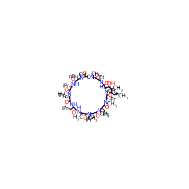 C/C=C/C[C@@H](C)[C@@H](O)[C@H]1C(=O)N[C@@H](CC)C(=O)N(C)CC(=O)N(C)[C@@H](CCCC)C(=O)N[C@@H](C(C)C)C(=O)N(C)[C@@H](CC(C)C)C(=O)NC(CC(C)C)C(=O)N[C@H](C)C(=O)N(C)[C@@H](CC(C)C)C(=O)N(C)[C@H](CC(C)C)C(=O)N(C)[C@@H](C(C)C)C(=O)N1C